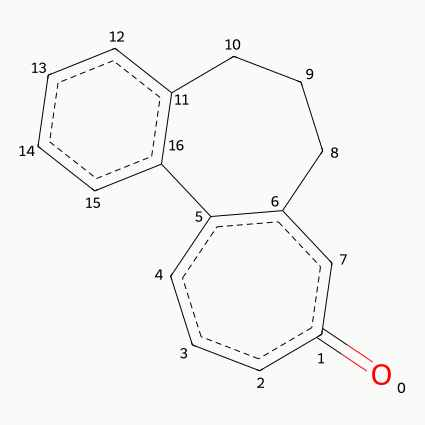 O=c1cccc2c(c1)CCCc1ccccc1-2